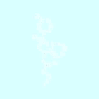 CCOC(=O)CC(CS(=O)(=O)c1cccc(O)c1)c1ccccc1